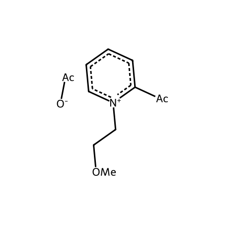 CC(=O)[O-].COCC[n+]1ccccc1C(C)=O